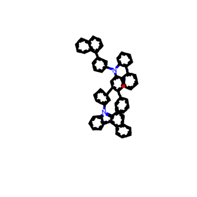 c1ccc(-c2ccc(N(c3cccc(-c4cccc5ccccc45)c3)c3ccccc3-c3ccccc3)cc2-c2cccc(-n3c4ccccc4c4c5ccccc5ccc43)c2)cc1